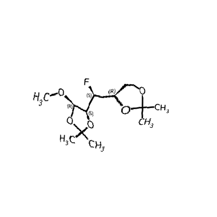 CO[C@@H]1OC(C)(C)O[C@@H]1[C@@H](F)[C@H]1COC(C)(C)O1